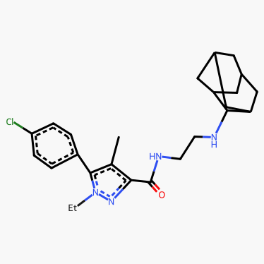 CCn1nc(C(=O)NCCNC2C3CC4CC(C3)CC2C4)c(C)c1-c1ccc(Cl)cc1